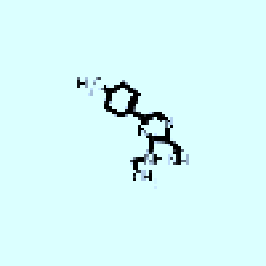 CCNc1nc(C2=CCC(C)CC2)cnc1C=N